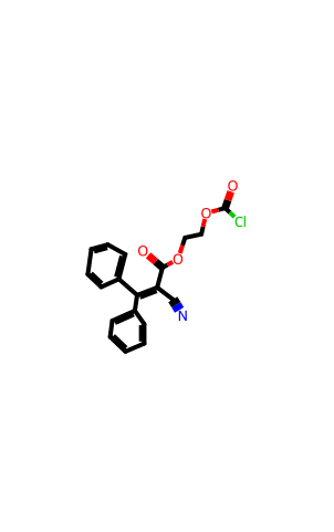 N#CC(C(=O)OCCOC(=O)Cl)=C(c1ccccc1)c1ccccc1